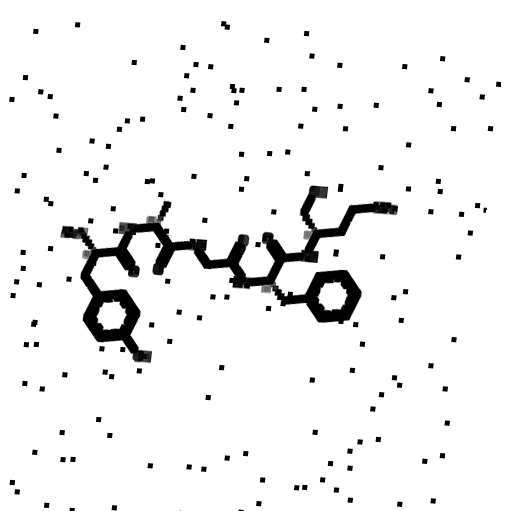 CN[C@@H](Cc1ccc(O)cc1)C(=O)N[C@H](C)C(=O)NCC(=O)N[C@@H](Cc1ccccc1)C(=O)N[C@H](CO)CCSC